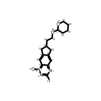 [O-][n+]1nc(I)nc2cc3c(cc21)CC(CCOC1CCCCO1)C3